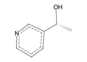 C[C@@H](O)c1cccnc1